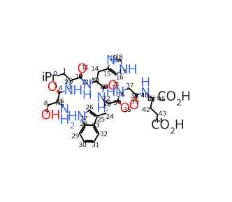 CC(C)C[C@H](NC(=O)[C@@H](N)CO)C(=O)N[C@@H](Cc1c[nH]cn1)C(=O)N[C@@H](Cc1c[nH]c2ccccc12)C(=O)NCC(=O)N[C@@H](CCC(=O)O)C(=O)O